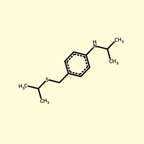 CC(C)Nc1ccc(CSC(C)C)cc1